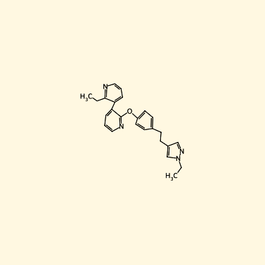 CCc1ncccc1-c1cccnc1Oc1ccc(CCc2cnn(CC)c2)cc1